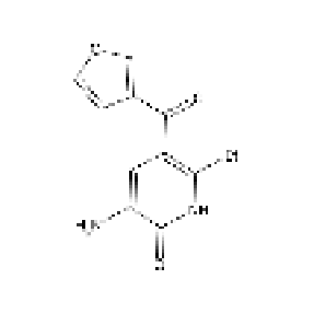 CCc1[nH]c(=O)c(N)cc1C(=O)c1ccoc1